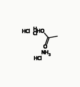 CC(=O)O.Cl.Cl.Cl.N